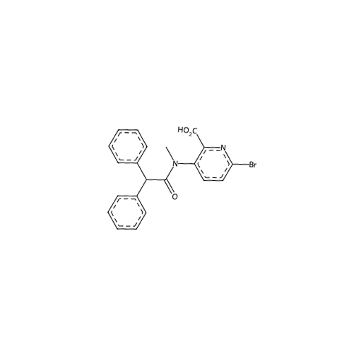 CN(C(=O)C(c1ccccc1)c1ccccc1)c1ccc(Br)nc1C(=O)O